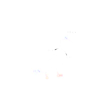 CCCCCCN1CC[C@](C)(c2ccc(C(N)=O)c(O)c2)[C@@H](C)C1